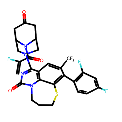 C=C(F)C(=O)N1C2CC(=O)CC1CN(c1nc(=O)n3c4c(c(-c5ccc(F)cc5F)c(C(F)(F)F)cc14)SCCC3)C2